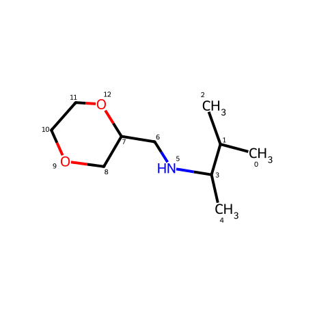 CC(C)C(C)NCC1COCCO1